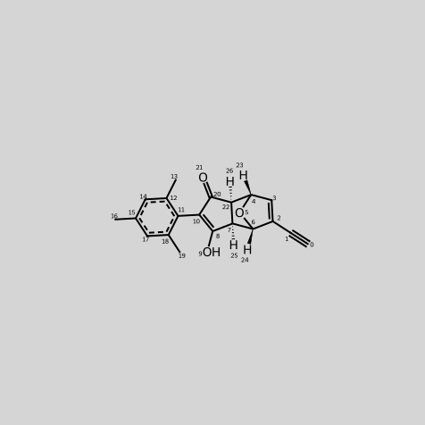 C#CC1=C[C@@H]2O[C@H]1[C@H]1C(O)=C(c3c(C)cc(C)cc3C)C(=O)[C@H]12